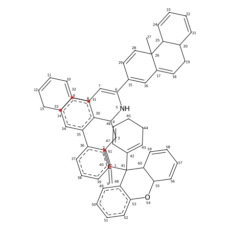 C=C=CCC(N/C(=C\CC1=CC=CCC1)C1=CC2=CCC3C=CC=CC3C2(C)C=C1)c1ccccc1-c1cccc(C2(C3=CCCC=C3)c3ccccc3OC3C=CC=CC32)c1